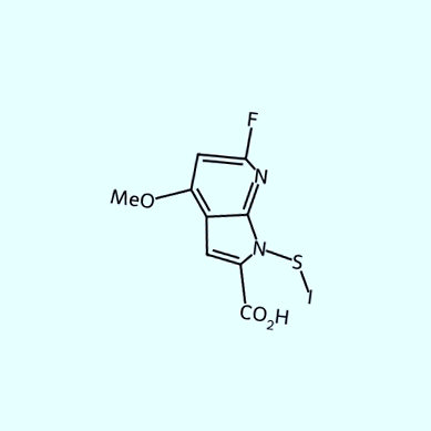 COc1cc(F)nc2c1cc(C(=O)O)n2SI